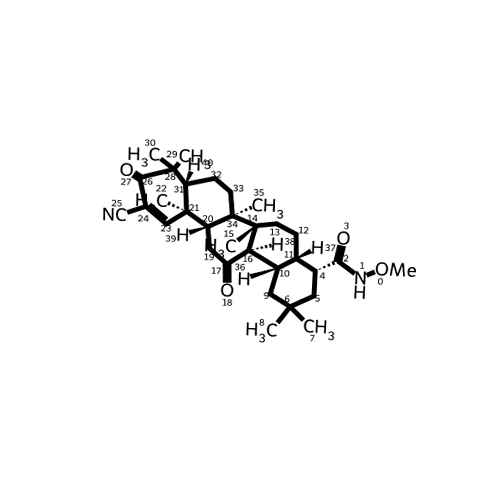 CONC(=O)[C@@H]1CC(C)(C)C[C@H]2[C@@H]1CC[C@]1(C)[C@@H]2C(=O)C[C@@H]2[C@@]3(C)C=C(C#N)C(=O)C(C)(C)[C@@H]3CC[C@]21C